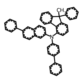 CC1(c2ccccc2)c2ccccc2-c2c(N(c3ccc(-c4ccccc4)cc3)c3ccc4cc(-c5ccccc5)ccc4c3)cccc21